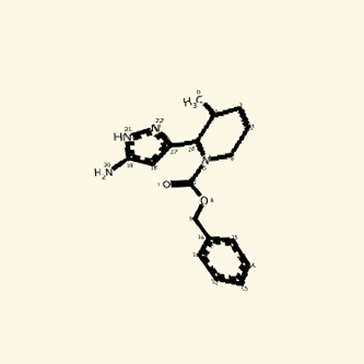 CC1CCCN(C(=O)OCc2ccccc2)C1c1cc(N)[nH]n1